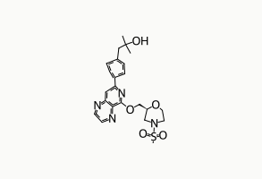 CC(C)(O)Cc1ccc(-c2cc3nccnc3c(OC[C@@H]3CN(S(C)(=O)=O)CCO3)n2)cc1